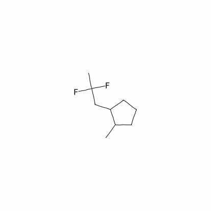 CC1CCCC1CC(C)(F)F